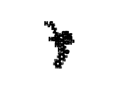 CCSCCCO[C@]1(C(=O)O)C[C@H](O)[C@@H](NC(C)=O)[C@H]([C@H](O)[C@H](O)CNC(=O)c2ccc(-c3ccccc3)cc2)O1